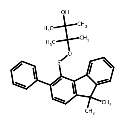 CC1(C)c2ccccc2-c2c1ccc(-c1ccccc1)c2SOC(C)(C)C(C)(C)O